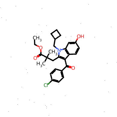 CCOC(=O)C(C)(C)Cc1c(C(=O)c2ccc(Cl)cc2)c2ccc(O)cc2n1CC1CCC1